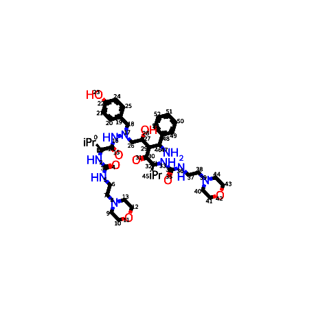 CC(C)[C@H](NC(=O)NCCN1CCOCC1)C(=O)NN(Cc1ccc(O)cc1)CC(O)C(C(=O)[C@@H](NC(=O)NCCN1CCOCC1)C(C)C)C(N)c1ccccc1